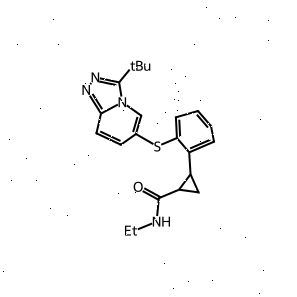 CCNC(=O)C1CC1c1ccccc1Sc1ccc2nnc(C(C)(C)C)n2c1